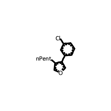 [CH2]CCCCc1cocc1-c1cccc(Cl)c1